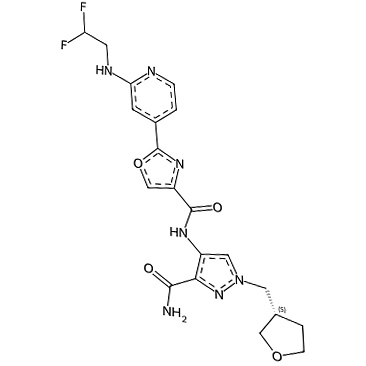 NC(=O)c1nn(C[C@@H]2CCOC2)cc1NC(=O)c1coc(-c2ccnc(NCC(F)F)c2)n1